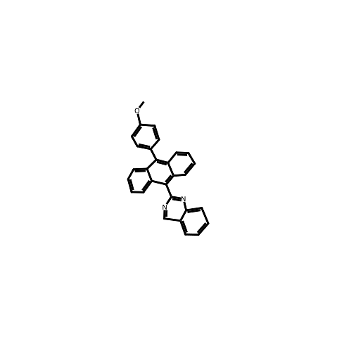 COc1ccc(-c2c3ccccc3c(-c3ncc4ccccc4n3)c3ccccc23)cc1